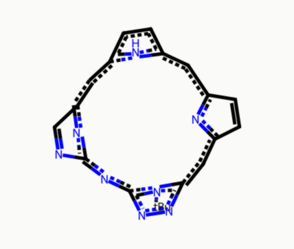 CC(C)(C)n1c2cc3nc(cc4ccc(cc5nc(nc1nn2)N=C5)[nH]4)C=C3